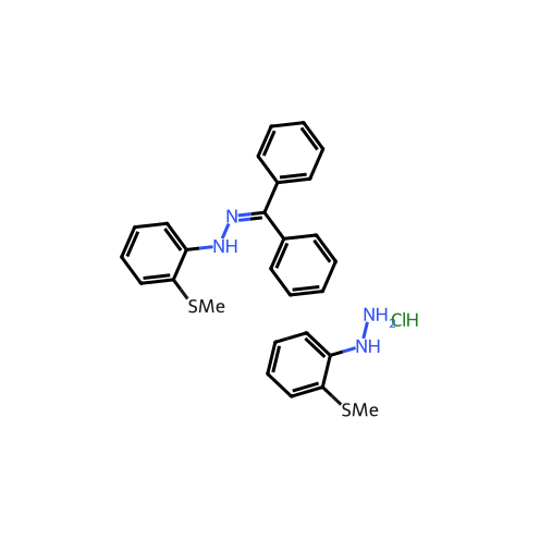 CSc1ccccc1NN.CSc1ccccc1NN=C(c1ccccc1)c1ccccc1.Cl